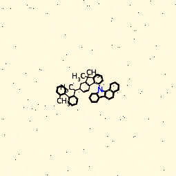 Cc1ccccc1-c1ccccc1[C@@H](C)C1C=CC2=C(C1)C(C)(C)c1cccc(-n3c4ccccc4c4ccc5ccccc5c43)c12